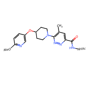 COc1ccc(OC2CCN(c3nnc(C(=O)NNC(C)=O)cc3C)CC2)cn1